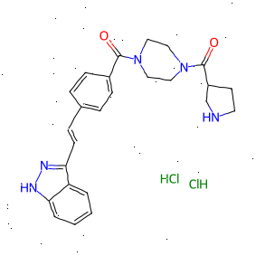 Cl.Cl.O=C(c1ccc(C=Cc2n[nH]c3ccccc23)cc1)N1CCN(C(=O)C2CCNC2)CC1